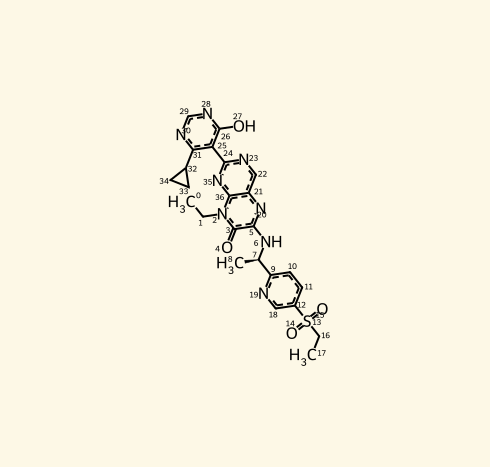 CCn1c(=O)c(N[C@H](C)c2ccc(S(=O)(=O)CC)cn2)nc2cnc(-c3c(O)ncnc3C3CC3)nc21